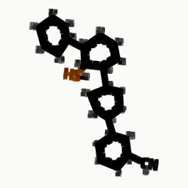 N#Cc1cccc(-c2ccc(-c3cccc(-c4ccccc4)c3S)cc2)c1